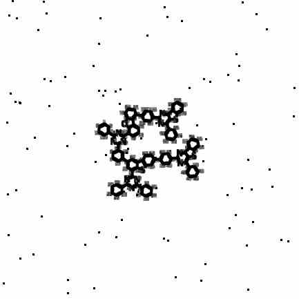 c1ccc(-c2nc(-c3cccc(-c4cc(-c5nc(-c6ccccc6)nc(-c6ccccc6)n5)c5sc6cc(-c7ccc(-c8nc(-c9ccccc9)c9sc%10ccccc%10c9n8)cc7)ccc6c5c4)c3)nc(-c3cccc4c3oc3cccc(-c5ccc(-c6nc(-c7ccccc7)c7sc8ccccc8c7n6)cc5)c34)n2)cc1